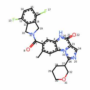 Cc1cc2c(cc1C(=O)N1Cc3c(F)ccc(F)c3C1)[nH]c(=O)c1cnc(C3CCCOC3)n12